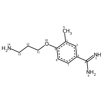 Cc1cc(C(=N)N)ccc1OCCCN